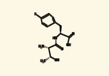 C[C@@H](O)[C@H](N)C(=O)N[C@@H](Cc1ccc(F)cc1)C(=O)O